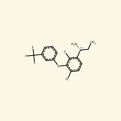 CC[C@@H](N)c1ccc(Cl)c(Oc2cccc(C(F)(F)F)c2)c1F